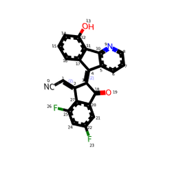 N#C/C=C1/C(=C2/c3cccnc3-c3c(O)cccc32)C(=O)c2cc(F)cc(F)c21